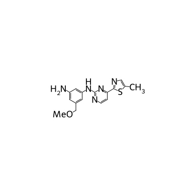 COCc1cc(N)cc(Nc2nccc(-c3ncc(C)s3)n2)c1